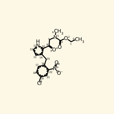 CCOC(=O)N(C)CC(=O)c1[nH]ccc1Cc1ccc(Cl)cc1[N+](=O)[O-]